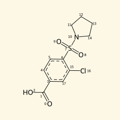 O=C(O)c1ccc(S(=O)(=O)N2CCCC2)c(Cl)c1